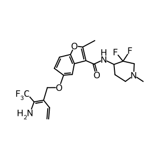 C=C/C(COc1ccc2oc(C)c(C(=O)NC3CCN(C)CC3(F)F)c2c1)=C(\N)C(F)(F)F